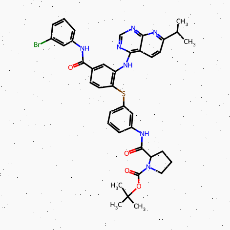 CC(C)c1ccc2c(Nc3cc(C(=O)Nc4cccc(Br)c4)ccc3Sc3cccc(NC(=O)C4CCCN4C(=O)OC(C)(C)C)c3)ncnc2n1